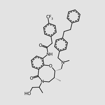 CC(CO)N1C[C@@H](C)[C@@H](CN(C)Cc2ccc(CCc3ccccc3)cc2)Oc2c(NC(=O)Cc3ccc(C(F)(F)F)cc3)cccc2C1=O